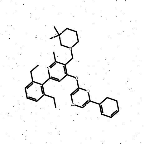 CCc1cccc(CC)c1-c1cc(OC2=COC=C(C3=CC=CCC3)O2)c(CN2CCCC(C)(C)C2)c(C)n1